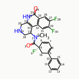 CN(C(=O)[C@@]1(F)C=CC=C(c2ccccc2)C1)C1CNCc2[nH]c(=O)c3cc(F)c(F)cc3c21